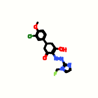 COc1ccc(C2CC(=O)C(N=Nc3nccn3CF)=C(O)C2)cc1Cl